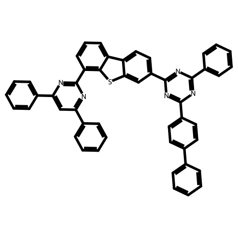 c1ccc(-c2ccc(-c3nc(-c4ccccc4)nc(-c4ccc5c(c4)sc4c(-c6nc(-c7ccccc7)cc(-c7ccccc7)n6)cccc45)n3)cc2)cc1